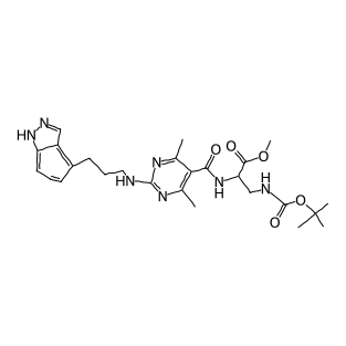 COC(=O)C(CNC(=O)OC(C)(C)C)NC(=O)c1c(C)nc(NCCCc2cccc3[nH]ncc23)nc1C